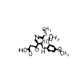 COc1ccc(Nc2nc(SC)ncc2C(=O)CC(=O)O)c(OC)c1